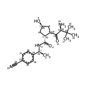 C[C@H](NC(=O)[C@@H]1C[C@@H](O)CN1C(=O)[C@@H](N)C(C)(C)C)c1ccc(C#N)cc1